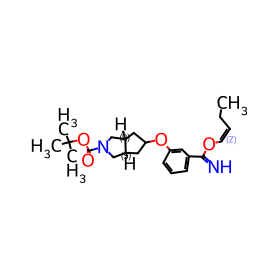 CC/C=C\OC(=N)c1cccc(OC2C[C@@H]3CN(C(=O)OC(C)(C)C)C[C@@H]3C2)c1